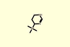 C[N+](C)(C)C1CCNC=N1